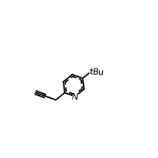 C#CCc1ccc(C(C)(C)C)cn1